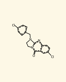 O=c1c2cc(Cl)ccc2nc2n1CCN2Cc1ccc(Cl)cc1